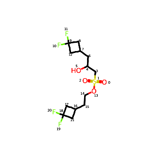 O=S(=O)(CC(O)CC1CC(F)(F)C1)OCCC1CC(F)(F)C1